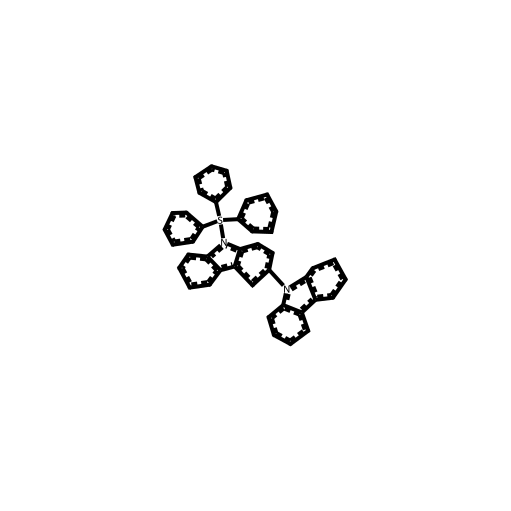 c1ccc(S(c2ccccc2)(c2ccccc2)n2c3ccccc3c3cc(-n4c5ccccc5c5ccccc54)ccc32)cc1